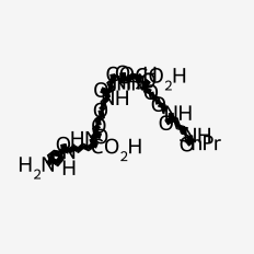 CCCC(=O)NSCCCC(=O)NCCOCCOCC(=O)NC(CCC(=O)NC(CCC(=O)NCCOCCOCC(=O)NC(CCCCNC(=O)c1ccc(N)cc1)C(=O)O)C(=O)O)C(=O)O